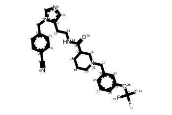 N#Cc1ccc(Cn2cncc2CCNC(=O)C2CCCN(Cc3cccc(OC(F)(F)F)c3)C2)cc1